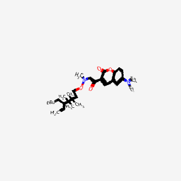 C=CC(CC(C)(C)C)C(C)(C)C(C)(C)CCON(C)CC(=O)c1cc2cc(N(CC)CC)ccc2oc1=O